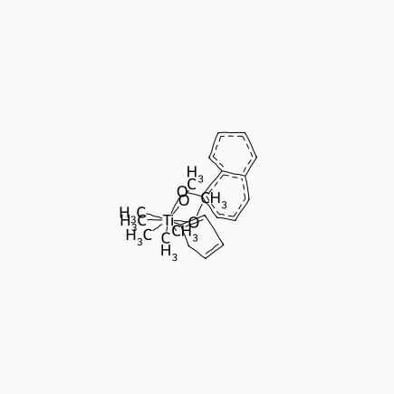 C[O][Ti]([CH3])([CH3])([CH3])([CH3])([CH3])([O]C)([O]c1cccc2ccccc12)[C]1=CC=CC1